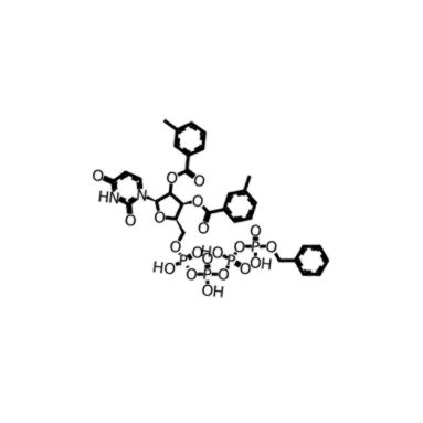 Cc1cccc(C(=O)OC2[C@@H](OC(=O)c3cccc(C)c3)[C@@H](COP(=O)(O)OP(=O)(O)OP(=O)(O)OP(=O)(O)OCc3ccccc3)O[C@H]2n2ccc(=O)[nH]c2=O)c1